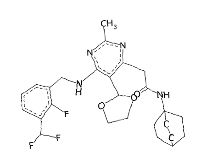 Cc1nc(CC(=O)NC23CCC(CC2)CC3)c(C2OCCO2)c(NCc2cccc(C(F)F)c2F)n1